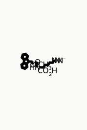 C[C@@](CCCCCN=[N+]=[N-])(NC(=O)OCC1c2ccccc2-c2ccccc21)C(=O)O